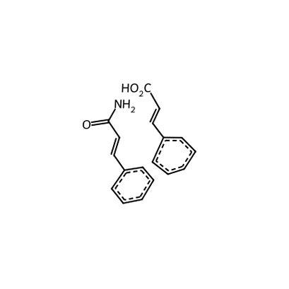 NC(=O)C=Cc1ccccc1.O=C(O)C=Cc1ccccc1